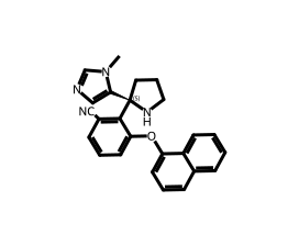 Cn1cncc1[C@@]1(c2c(C#N)cccc2Oc2cccc3ccccc23)CCCN1